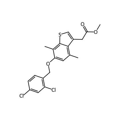 COC(=O)Cc1csc2c(C)c(OCc3ccc(Cl)cc3Cl)cc(C)c12